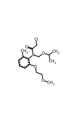 COCCOc1cccc(C)c1N(COC(C)C)C(=O)CCl